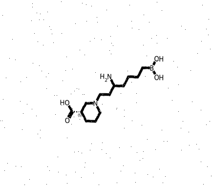 NC(CCCCB(O)O)CCN1CCC[C@H](C(=O)O)C1